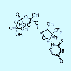 O=c1ccn([C@@H]2O[C@H](COP(=O)(O)OP(=O)(O)OP(=O)(O)O)C(O)[C@]2(F)C(F)(F)F)c(=S)[nH]1